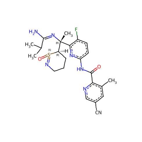 Cc1cc(C#N)cnc1C(=O)Nc1ccc(F)c([C@@]2(C)N=C(N)C(C)(C)[S@]3(=O)=NCCC[C@H]23)n1